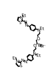 CCN(CCOCCOCCN(CC)c1ccc(N=Nc2scc[n+]2CC)cc1)c1ccc(N=Nc2scc[n+]2CC)cc1.[Br-].[Br-]